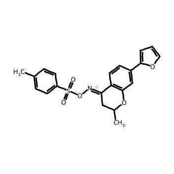 Cc1ccc(S(=O)(=O)O/N=C2\CC(C)Oc3cc(-c4ccco4)ccc32)cc1